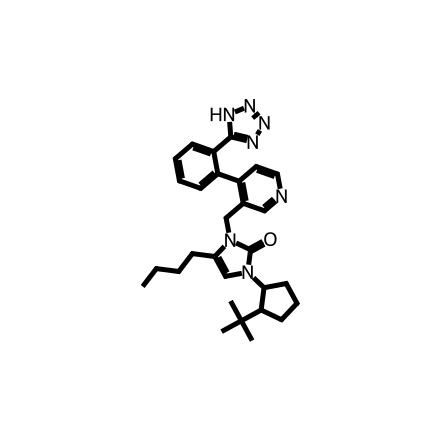 CCCCc1cn(C2CCCC2C(C)(C)C)c(=O)n1Cc1cnccc1-c1ccccc1-c1nnn[nH]1